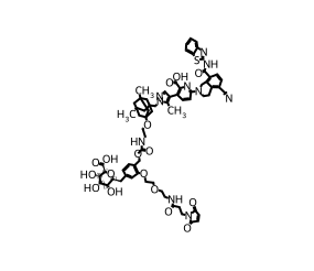 Cc1c(-c2ccc(N3CCc4c(C#N)ccc(C(=O)Nc5nc6ccccc6s5)c4C3)nc2C(=O)O)cnn1CC12CC3(C)CC(C)(C1)CC(OCCNC(=O)OCc1ccc(C[C@@H]4O[C@H](C(=O)O)[C@@H](O)[C@H](O)[C@@H]4O)cc1OCCOCCNC(=O)CCN1C(=O)C=CC1=O)(C3)C2